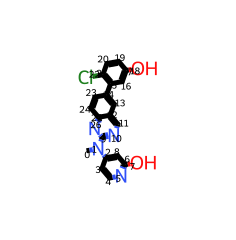 CN(c1ccnc(O)c1)c1ncc2cc(-c3cc(O)ccc3Cl)ccc2n1